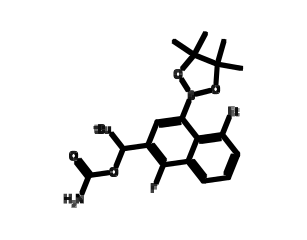 CCc1cccc2c(F)c(C(OC(N)=O)C(C)(C)C)cc(B3OC(C)(C)C(C)(C)O3)c12